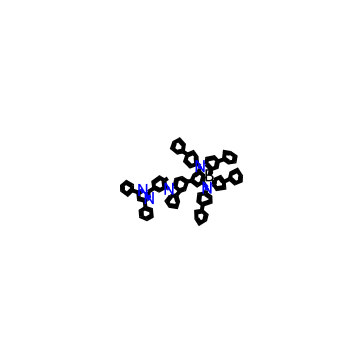 Cc1ccc(-c2nc(-c3ccccc3)cc(-c3ccccc3)n2)cc1-n1c2ccccc2c2cc(-c3cc4c5c(c3)N(c3ccc(-c6ccccc6)cc3)c3ccc(-c6ccccc6)cc3B5c3cc(-c5ccccc5)ccc3N4c3ccc(-c4ccccc4)cc3)ccc21